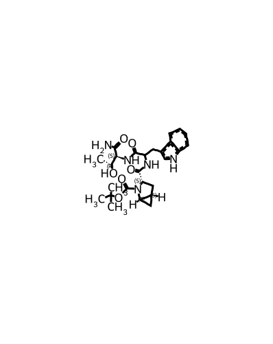 C[C@@H](O)[C@H](NC(=O)C(Cc1c[nH]c2ccccc12)NC(=O)[C@@H]1C[C@@H]2C[C@@H]2N1C(=O)OC(C)(C)C)C(N)=O